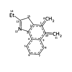 C=c1c2c(c3ccccc3c1=C)N=C(CC)C2